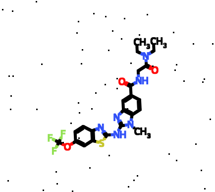 CCN(CC)C(=O)CNC(=O)c1ccc2c(c1)nc(Nc1nc3ccc(OC(F)(F)F)cc3s1)n2C